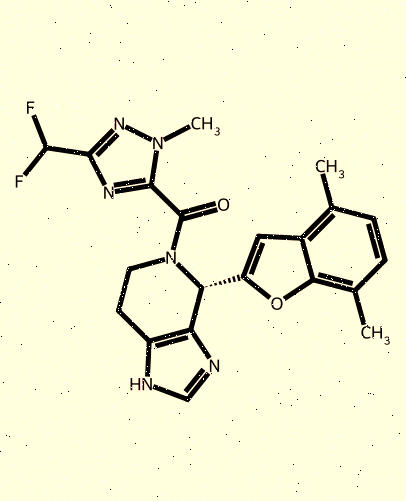 Cc1ccc(C)c2oc([C@@H]3c4nc[nH]c4CCN3C(=O)c3nc(C(F)F)nn3C)cc12